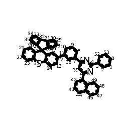 c1ccc(-c2nc(-c3cccc(-c4ccc5c(c4)C4(c6ccccc6S5)c5ccccc5-c5ccccc54)c3)cc(-c3cccc4ccccc34)n2)cc1